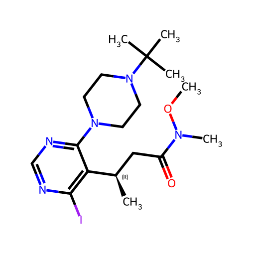 CON(C)C(=O)C[C@@H](C)c1c(I)ncnc1N1CCN(C(C)(C)C)CC1